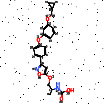 C[C@@H](COc1cc(-c2ccc(Oc3cccc(OCC4CC4)c3)cc2)no1)NC(=O)O